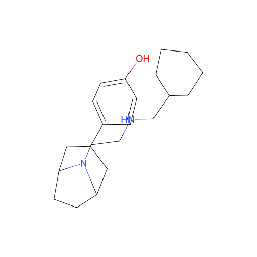 Oc1ccc(C2CC3CCC(C2)N3CCNCC2CCCCC2)cc1